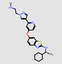 CCNCCn1cc(-c2cc(Oc3ccc4nc(N[C@@H](C)C5CCCCC5)sc4c3)ccn2)cn1